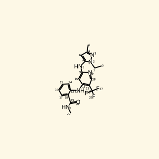 CCn1nc(C)cc1Nc1cc(Nc2ccccc2C(=O)NC)c(C(F)(F)F)cn1